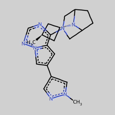 Cn1cc(-c2cc3c(N4CC5CCC(C4)N5[C@H]4C[C@H](C)C4)ncnn3c2)cn1